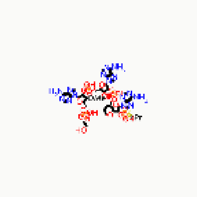 CCCSP(=O)(O)O[C@H]1C2OCCC[C@]2(COP(=O)(O)O[C@H]2C(O)[C@@H](COP(=O)(O)O[C@H]3C(OC)[C@@H](COP(=O)(O)OCCO)O[C@H]3n3cnc4c(N)ncnc43)O[C@H]2n2cnc3c(N)ncnc32)O[C@H]1n1cnc2c(N)ncnc21